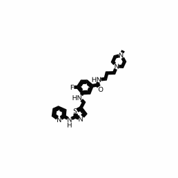 CN1CCN(CCCNC(=O)c2ccc(F)c(NCc3cnc(Nc4ccccn4)s3)c2)CC1